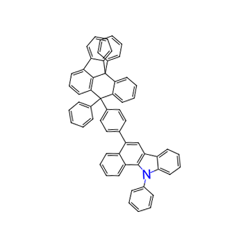 c1ccc(-n2c3ccccc3c3cc(-c4ccc(C5(c6ccccc6)c6ccccc6C6(c7ccccc7)c7ccccc7-c7cccc5c76)cc4)c4ccccc4c32)cc1